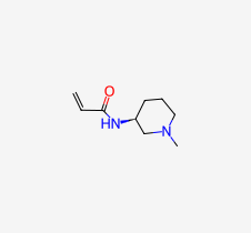 C=CC(=O)N[C@H]1CCCN(C)C1